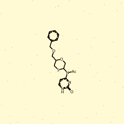 CC(=O)N(c1cc[nH]c(=O)n1)C1COC(COCc2ccccc2)CS1